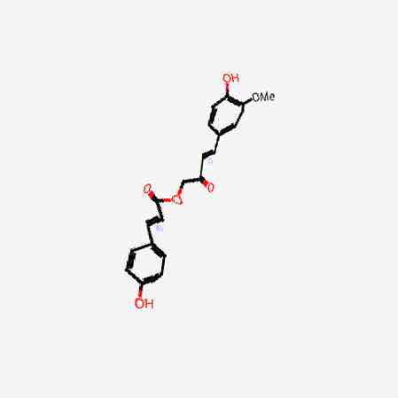 COc1cc(/C=C/C(=O)COC(=O)/C=C/c2ccc(O)cc2)ccc1O